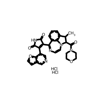 CC1c2cccc3c2N(C=CN=C3C2=C(c3cncc4ccoc34)C(=O)NC2=O)C1C(=O)N1CCOCC1.Cl.Cl